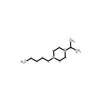 CCCCCN1CCN(C(C)C)CC1